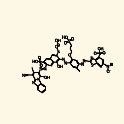 Cc1cc(N=Nc2c(SOOO)cc3cc(S(=O)(=O)O)c(N=Nc4c(C)c(C#N)c5nc6ccccc6n5c4O)cc3c2O)c(OCCCS(=O)(=O)O)cc1N=Nc1nc2c(S(=O)(=O)O)cc([N+](=O)[O-])cc2s1